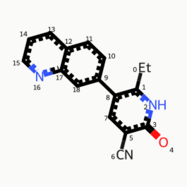 CCc1[nH]c(=O)c(C#N)cc1-c1ccc2cccnc2c1